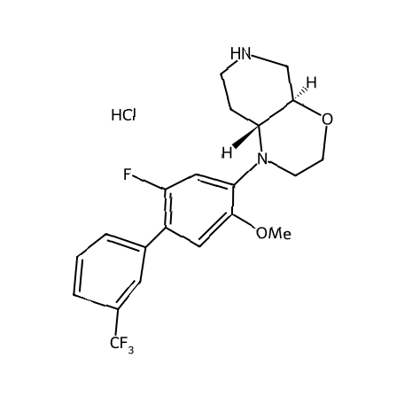 COc1cc(-c2cccc(C(F)(F)F)c2)c(F)cc1N1CCO[C@@H]2CNCC[C@H]21.Cl